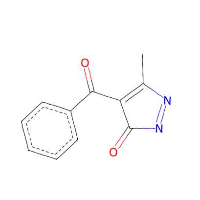 CC1=C(C(=O)c2ccccc2)C(=O)N=N1